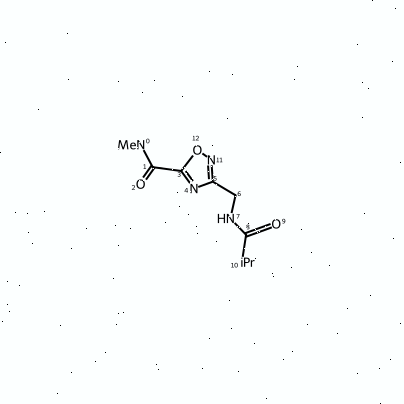 CNC(=O)c1nc(CNC(=O)C(C)C)no1